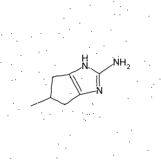 CC1Cc2nc(N)[nH]c2C1